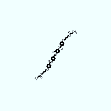 C=CC(=O)OCCCCOc1ccc(C(=O)Oc2ccc(/C=N/c3ccc(OC(=O)c4ccc(OCCCCOC(=O)C=C)cc4)cc3Cl)cc2)cc1